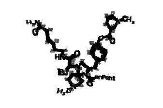 CCCCCC(=O)N1C(Cc2ccc(OC(=O)C3=CN(C)C=CC3)cc2)CN(C(C(=O)NCCCCCC(N)=O)C(C)CC)C12CCN(C)CC2